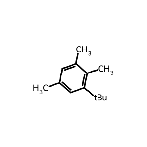 Cc1cc(C)c(C)c(C(C)(C)C)c1